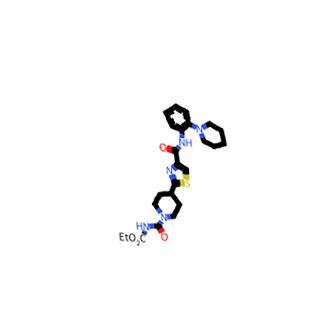 CCOC(=O)NC(=O)N1CCC(c2nc(C(=O)Nc3ccccc3N3CCCCC3)cs2)CC1